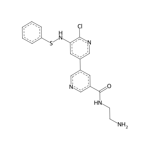 NCCNC(=O)c1cncc(-c2cnc(Cl)c(NSc3ccccc3)c2)c1